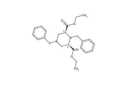 CCOC(=O)[C@H]1CN(Sc2ccccc2)C[C@@H](C(=O)OCC)N1Cc1ccccc1